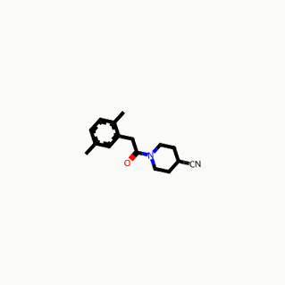 Cc1ccc(C)c(CC(=O)N2CCC(C#N)CC2)c1